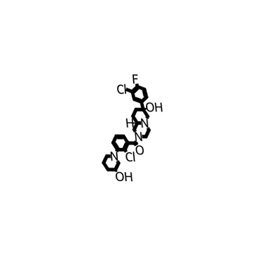 O=C(c1cccc(N2CCC[C@H](O)C2)c1Cl)N1CCN2C[C@@](O)(c3ccc(F)c(Cl)c3)CC[C@@H]2C1